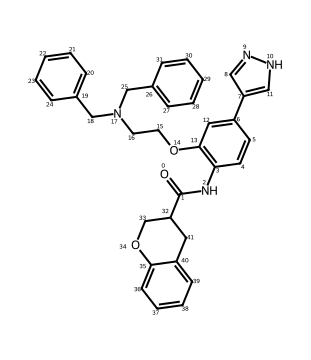 O=C(Nc1ccc(-c2cn[nH]c2)cc1OCCN(Cc1ccccc1)Cc1ccccc1)C1COc2ccccc2C1